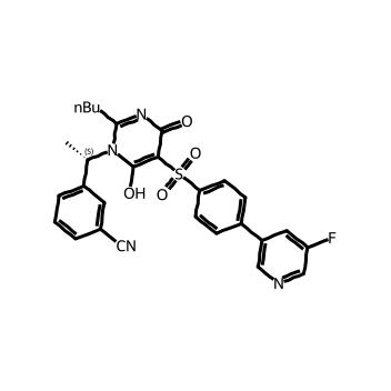 CCCCc1nc(=O)c(S(=O)(=O)c2ccc(-c3cncc(F)c3)cc2)c(O)n1[C@@H](C)c1cccc(C#N)c1